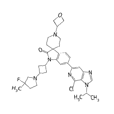 CC(C)n1cnc2cc(-c3ccc4c(c3)N(C3CC(N5CCC(C)(F)C5)C3)C(=O)C43CCN(C4COC4)CC3)nc(Cl)c21